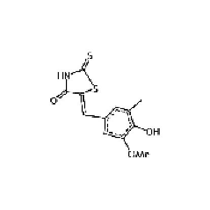 COc1cc(/C=C2\SC(=S)NC2=O)cc(C)c1O